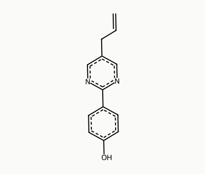 C=CCc1cnc(-c2ccc(O)cc2)nc1